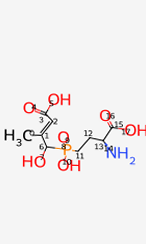 C/C(=C\C(=O)O)C(O)P(=O)(O)CC[C@H](N)C(=O)O